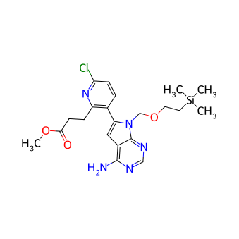 COC(=O)CCc1nc(Cl)ccc1-c1cc2c(N)ncnc2n1COCC[Si](C)(C)C